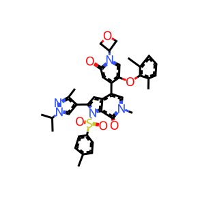 Cc1ccc(S(=O)(=O)n2c(-c3cn(C(C)C)nc3C)cc3c(-c4cc(=O)n(C5COC5)cc4Oc4c(C)cccc4C)cn(C)c(=O)c32)cc1